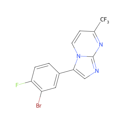 Fc1ccc(-c2cnc3nc(C(F)(F)F)ccn23)cc1Br